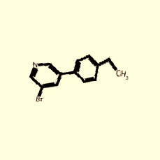 CCc1ccc(-c2cncc(Br)c2)cc1